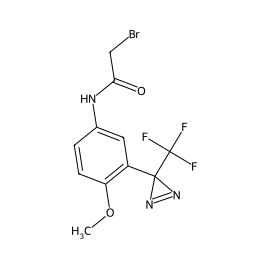 COc1ccc(NC(=O)CBr)cc1C1(C(F)(F)F)N=N1